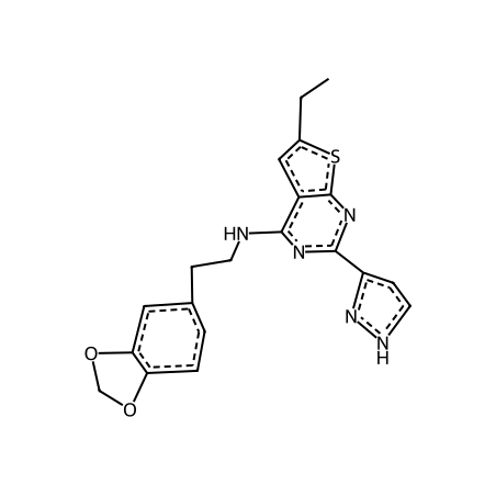 CCc1cc2c(NCCc3ccc4c(c3)OCO4)nc(-c3cc[nH]n3)nc2s1